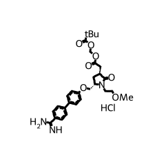 COCCN1C(=O)[C@H](CC(=O)OCOC(=O)C(C)(C)C)C[C@H]1COc1ccc(-c2ccc(C(=N)N)cc2)cc1.Cl